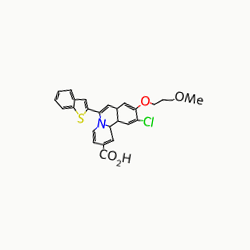 COCCCOC1=CC2C=C(c3cc4ccccc4s3)N3C=CC(C(=O)O)=CC3C2C=C1Cl